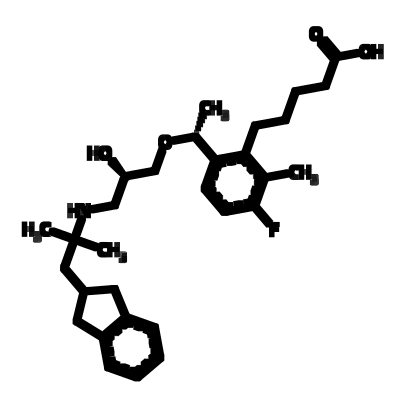 Cc1c(F)ccc([C@@H](C)OC[C@H](O)CNC(C)(C)CC2Cc3ccccc3C2)c1CCCCC(=O)O